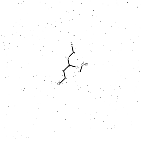 CC=O.ClCCC(Cl)OCCl